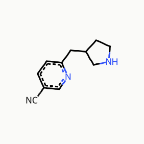 N#Cc1ccc(CC2CCNC2)nc1